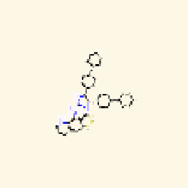 c1ccc(-c2ccc(-c3nc4nc5c6ncccc6cc6ssc(c65)n4c3-c3ccc(-c4ccccc4)cc3)cc2)cc1